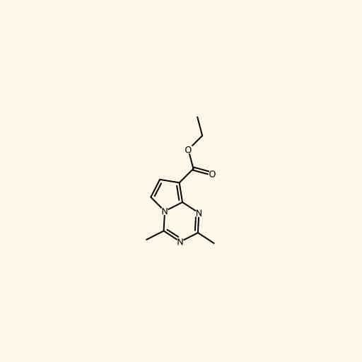 CCOC(=O)c1ccn2c(C)nc(C)nc12